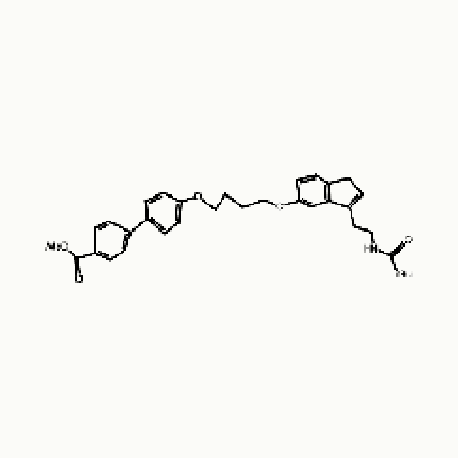 CCCCC(=O)NCCC1=CCc2ccc(OCCCCOc3ccc(-c4ccc(C(=O)OC)cc4)cc3)cc21